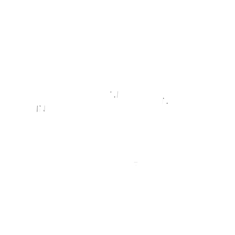 C=C(CNC)NCc1ncccc1F